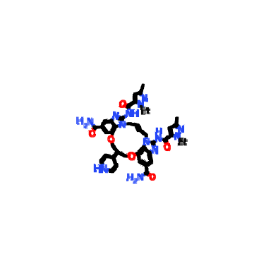 CCn1nc(C)cc1C(=O)Nc1nc2cc(C(N)=O)cc3c2n1C/C=C/Cn1c(NC(=O)c2cc(C)nn2CC)nc2cc(C(N)=O)cc(c21)OCC(C1CCNCC1)CO3